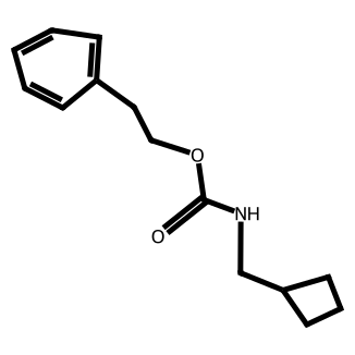 O=C(NCC1CCC1)OCCc1ccccc1